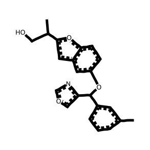 Cc1cccc(C(Oc2ccc3oc(C(C)CO)cc3c2)c2cocn2)c1